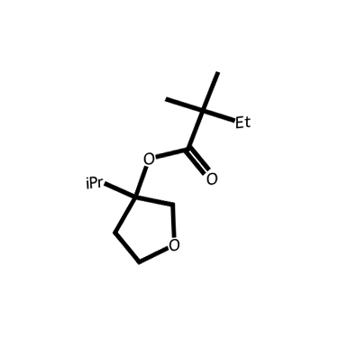 CCC(C)(C)C(=O)OC1(C(C)C)CCOC1